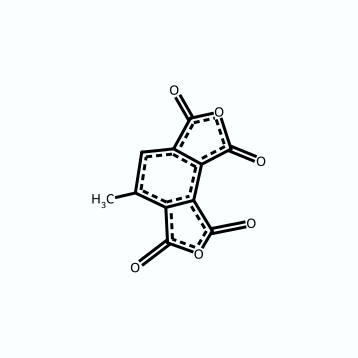 Cc1cc2c(=O)oc(=O)c2c2c(=O)oc(=O)c12